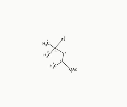 CCC(C)(C)CC(C)OC(C)=O